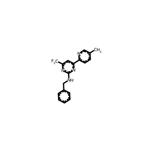 Cc1ccc(-c2cc(C(F)(F)F)nc(NCc3ccccc3)n2)nc1